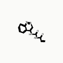 C=CC(=O)NC(=O)Nc1cnnc2ccccc12